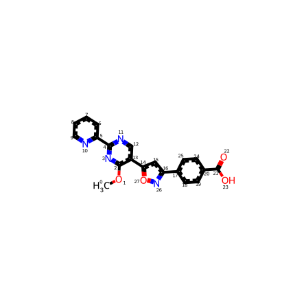 COc1nc(-c2ccccn2)ncc1-c1cc(-c2ccc(C(=O)O)cc2)no1